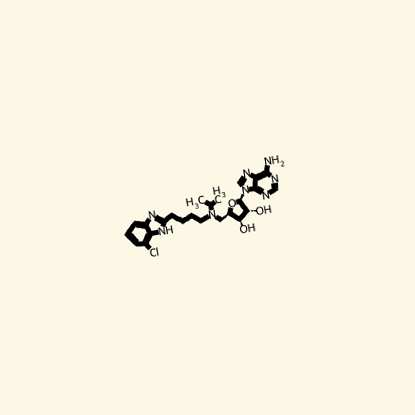 CC(C)N(CCCCc1nc2cccc(Cl)c2[nH]1)C[C@H]1O[C@@H](n2cnc3c(N)ncnc32)[C@H](O)[C@@H]1O